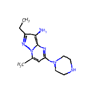 CCc1nn2c(C)cc(N3CCNCC3)nc2c1N